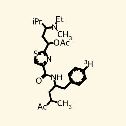 [3H]c1ccc(CC(CC(C)C(C)=O)NC(=O)c2csc(C(CC(C(C)C)N(C)CC)OC(C)=O)n2)cc1